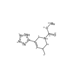 CC1C=C(c2nnn[nH]2)CN(C(=O)OC(C)(C)C)C1